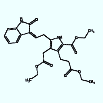 CCOC(=O)CCc1c(C(=O)OCC)[nH]c(CC=C2C(=O)Nc3ccccc32)c1CC(=O)OCC